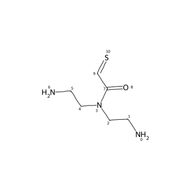 NCCN(CCN)C(=O)C=S